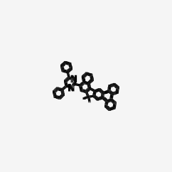 CC1(C)c2cc3c4ccccc4c4ccccc4c3cc2-c2c1cc(-c1nc(-c3ccccc3)cc(-c3ccccc3)n1)c1ccccc21